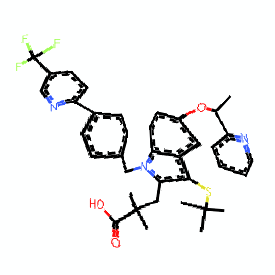 CC(Oc1ccc2c(c1)c(SC(C)(C)C)c(CC(C)(C)C(=O)O)n2Cc1ccc(-c2ccc(C(F)(F)F)cn2)cc1)c1ccccn1